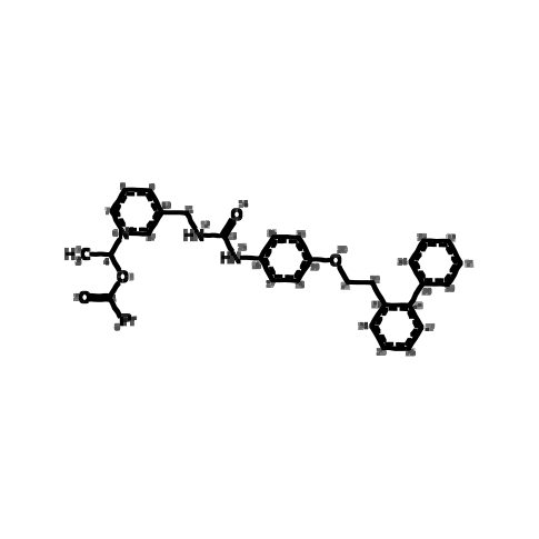 CC(C)C(=O)OC(C)[n+]1cccc(CNC(=O)Nc2ccc(OCCc3ccccc3-c3ccccc3)cc2)c1